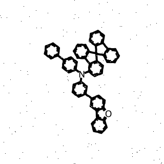 c1ccc(-c2ccc(N(c3cccc(-c4ccc5oc6ccccc6c5c4)c3)c3cccc4c3-c3ccccc3C43c4ccccc4-c4ccccc43)cc2)cc1